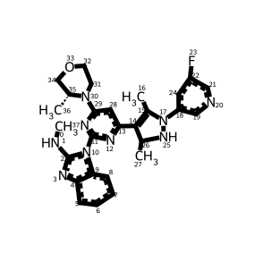 CNc1nc2ccccc2n1-c1nc(C2=C(C)N(c3cncc(F)c3)NC2C)cc(N2CCOC[C@H]2C)n1